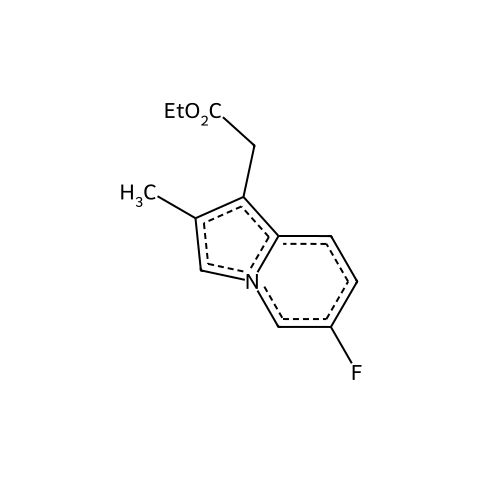 CCOC(=O)Cc1c(C)cn2cc(F)ccc12